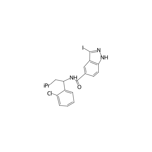 CC(C)CC(NC(=O)c1ccc2[nH]nc(I)c2c1)c1ccccc1Cl